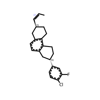 C/C=C\[C@H]1CCc2c(ccc3c2CC[C@H](c2ccc(Cl)c(F)c2)C3)C1